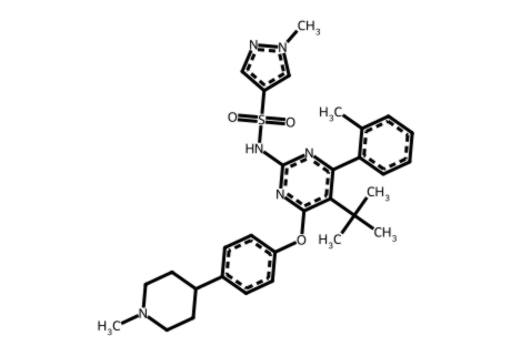 Cc1ccccc1-c1nc(NS(=O)(=O)c2cnn(C)c2)nc(Oc2ccc(C3CCN(C)CC3)cc2)c1C(C)(C)C